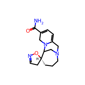 NC(=O)C1=CC=C2CN3CCC[C@@]4(CC=NO4)C(C3)N2C1